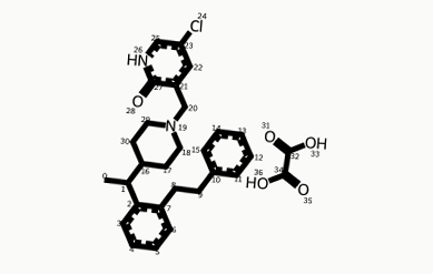 CC(c1ccccc1CCc1ccccc1)C1CCN(Cc2cc(Cl)c[nH]c2=O)CC1.O=C(O)C(=O)O